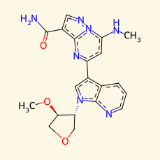 CNc1cc(-c2cn([C@@H]3COC[C@H]3OC)c3ncccc23)nc2c(C(N)=O)cnn12